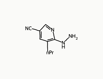 CCCc1cc(C#N)cnc1NN